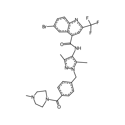 Cc1nn(Cc2ccc(C(=O)N3CCN(C)CC3)cc2)c(C)c1NC(=O)c1cc(C(F)(F)F)nc2ccc(Br)cc12